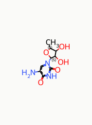 C[C@@H]1O[C@H](n2cc(N)c(=O)[nH]c2=O)C(O)C1O